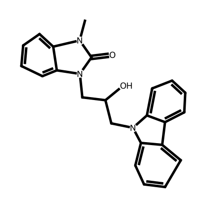 Cn1c(=O)n(CC(O)Cn2c3ccccc3c3ccccc32)c2ccccc21